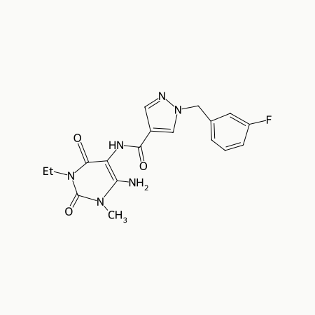 CCn1c(=O)c(NC(=O)c2cnn(Cc3cccc(F)c3)c2)c(N)n(C)c1=O